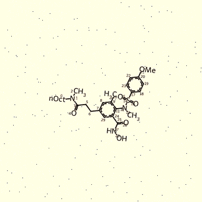 CCCCCCCCN(C)C(=O)CCc1cc(C)c(N(C)S(=O)(=O)c2ccc(OC)cc2)c(C(=O)NO)c1